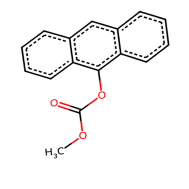 COC(=O)Oc1c2ccccc2cc2ccccc12